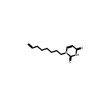 C=CCCCCCCn1ccc(=O)[nH]c1=S